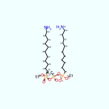 CCOP(=O)(CCCCCCCCCCCN)OP(C)(=O)OP(=O)(CCCCCCCCCCCN)OCC